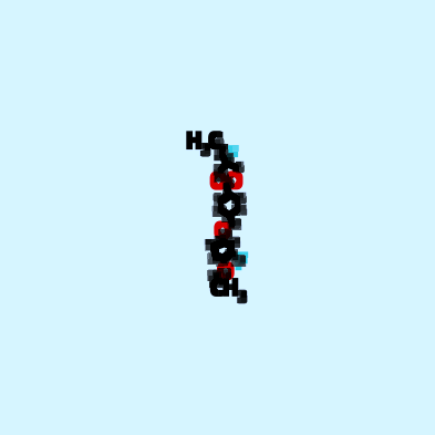 CCCC1(F)COC(C2=CCC(COc3ccc(OCC)c(F)c3)CC2)OC1